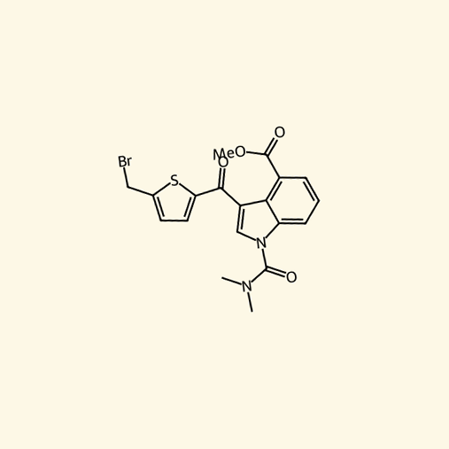 COC(=O)c1cccc2c1c(C(=O)c1ccc(CBr)s1)cn2C(=O)N(C)C